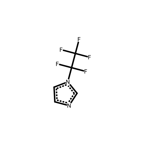 FC(F)(F)C(F)(F)n1ccnc1